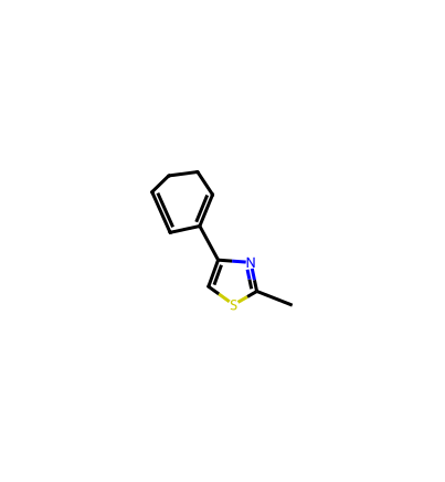 Cc1nc(C2=CCCC=C2)cs1